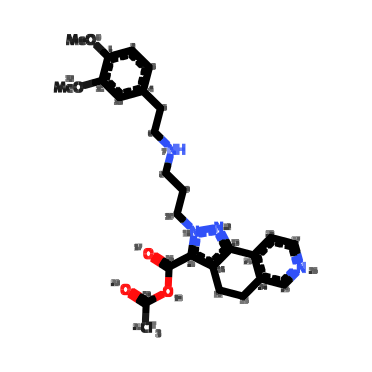 COc1ccc(CCNCCCn2nc3c(c2C(=O)OC(=O)C(F)(F)F)CCc2cnccc2-3)cc1OC